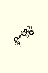 Cc1cccc(/C=C/c2cc(=O)n3c(cc(C)n3-c3ccccc3)n2)n1